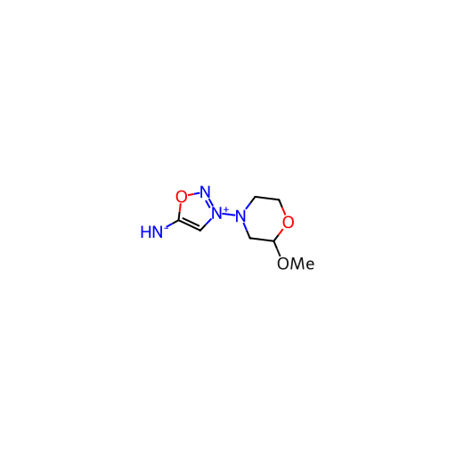 COC1CN([n+]2cc([NH-])on2)CCO1